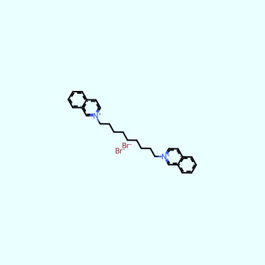 [Br-].[Br-].c1ccc2c[n+](CCCCCCCCC[n+]3ccc4ccccc4c3)ccc2c1